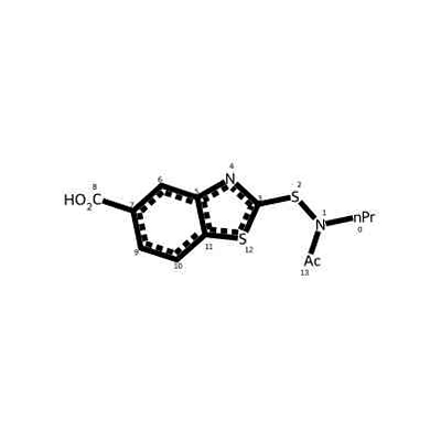 CCCN(Sc1nc2cc(C(=O)O)ccc2s1)C(C)=O